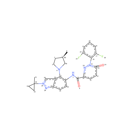 C[C@@H]1CCN(c2c(NC(=O)c3ccc(=O)n(-c4c(F)cccc4F)n3)ccc3nn(C4(C)CC4)cc23)C1